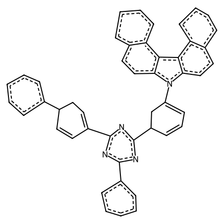 C1=CC(c2nc(C3=CCC(c4ccccc4)C=C3)nc(-c3ccccc3)n2)CC(n2c3ccc4ccccc4c3c3c4ccccc4ccc32)=C1